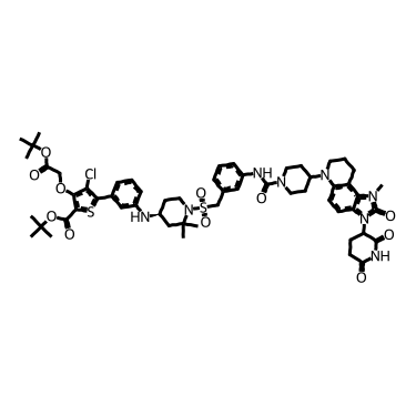 Cn1c(=O)n(C2CCC(=O)NC2=O)c2ccc3c(c21)CCCN3C1CCN(C(=O)Nc2cccc(CS(=O)(=O)N3CC[C@H](Nc4cccc(-c5sc(C(=O)OC(C)(C)C)c(OCC(=O)OC(C)(C)C)c5Cl)c4)CC3(C)C)c2)CC1